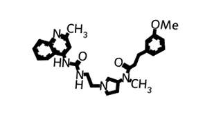 COc1cccc(CCC(=O)N(C)C2CCN(CCNC(=O)Nc3cc(C)nc4ccccc34)C2)c1